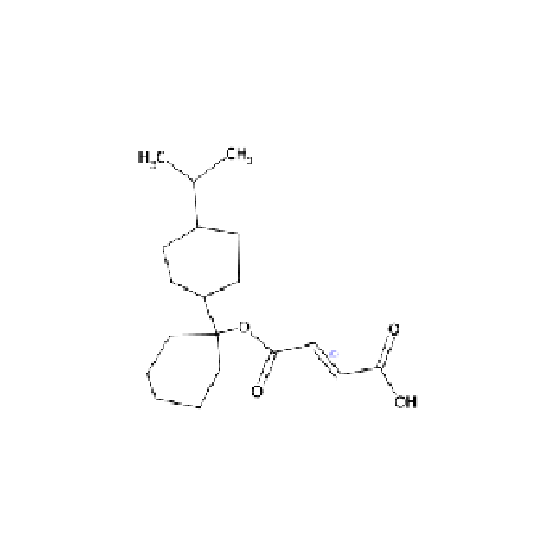 CC(C)C1CCC(C2(OC(=O)/C=C/C(=O)O)CCCCC2)CC1